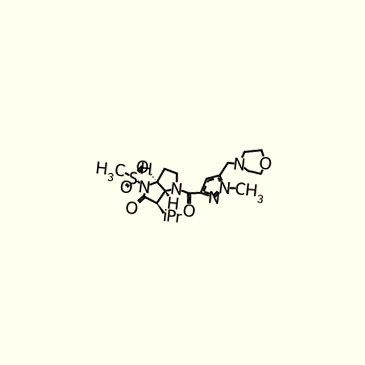 CC(C)[C@H]1C(=O)N(S(C)(=O)=O)[C@H]2CCN(C(=O)c3cc(CN4CCOCC4)n(C)n3)[C@H]12